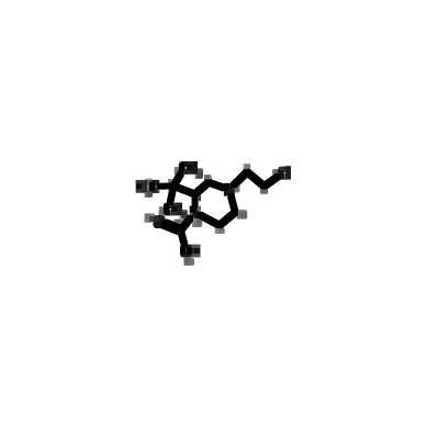 CC(C)(C)C1CN(CCCl)CCN1C(=O)O